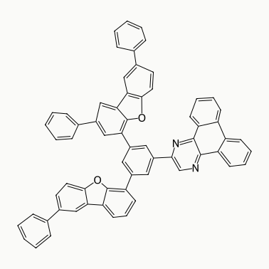 c1ccc(-c2ccc3oc4c(-c5cc(-c6cnc7c8ccccc8c8ccccc8c7n6)cc(-c6cc(-c7ccccc7)cc7c6oc6ccc(-c8ccccc8)cc67)c5)cccc4c3c2)cc1